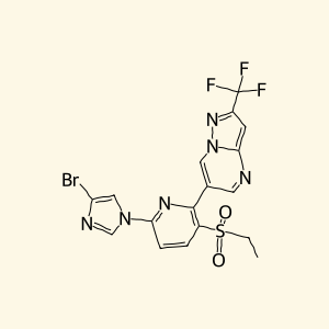 CCS(=O)(=O)c1ccc(-n2cnc(Br)c2)nc1-c1cnc2cc(C(F)(F)F)nn2c1